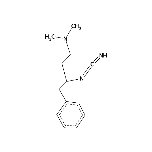 CN(C)CCC(Cc1ccccc1)N=C=N